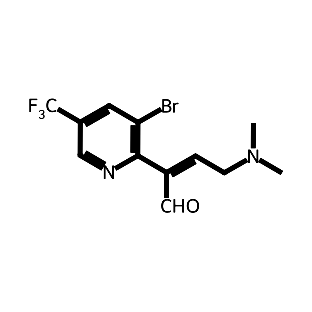 CN(C)CC=C(C=O)c1ncc(C(F)(F)F)cc1Br